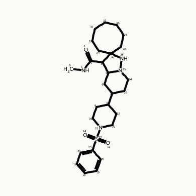 CNC(=O)C1C2CC(C3CCN(S(=O)(=O)c4ccccc4)CC3)CCN2NC12CCCCCCC2